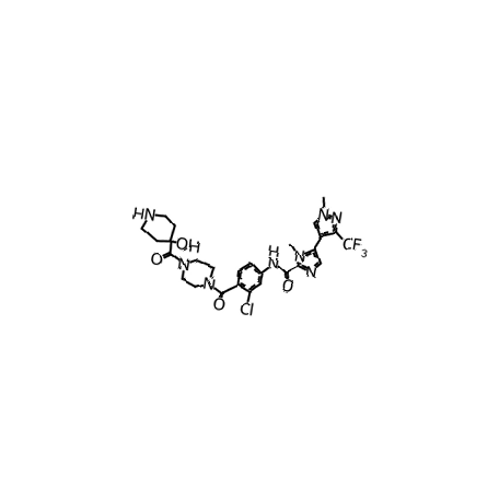 Cn1cc(-c2cnc(C(=O)Nc3ccc(C(=O)N4CCN(C(=O)C5(O)CCNCC5)CC4)c(Cl)c3)n2C)c(C(F)(F)F)n1